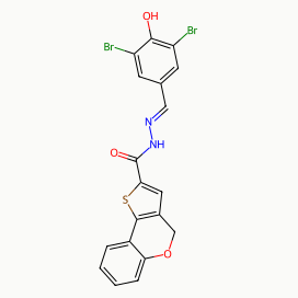 O=C(NN=Cc1cc(Br)c(O)c(Br)c1)c1cc2c(s1)-c1ccccc1OC2